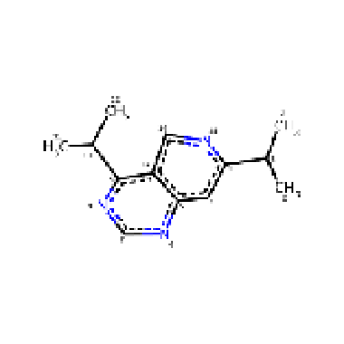 CC(C)c1cc2ncnc(C(C)C)c2cn1